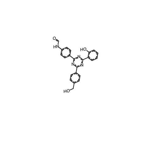 O=CNc1ccc(-c2nc(-c3ccc(CO)cc3)nc(-c3ccccc3O)n2)cc1